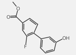 COC(=O)c1ccc(-c2cccc(O)c2)c(F)c1